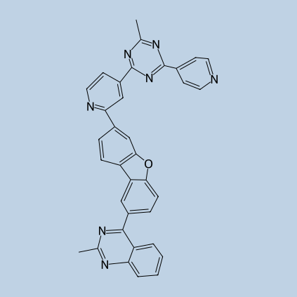 Cc1nc(-c2ccncc2)nc(-c2ccnc(-c3ccc4c(c3)oc3ccc(-c5nc(C)nc6ccccc56)cc34)c2)n1